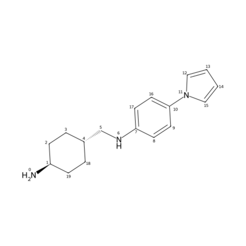 N[C@H]1CC[C@H](CNc2ccc(-n3cccc3)cc2)CC1